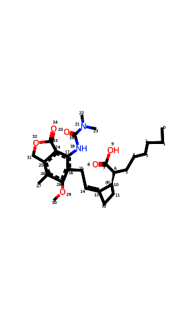 CCCCCCC(C(=O)O)[C@H]1CCC1=CCc1c(NC(=O)N(C)C)c2c(c(C)c1OC)COC2=O